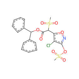 CS(=O)(=O)Oc1noc(C(C(=O)OC(c2ccccc2)c2ccccc2)S(C)(=O)=O)c1Cl